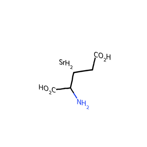 NC(CCC(=O)O)C(=O)O.[SrH2]